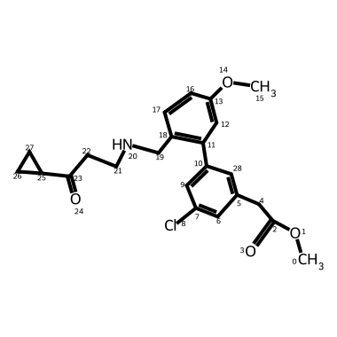 COC(=O)Cc1cc(Cl)cc(-c2cc(OC)ccc2CNCCC(=O)C2CC2)c1